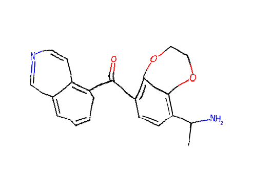 CC(N)c1ccc(C(=O)c2cccc3cnccc23)c2c1OCCO2